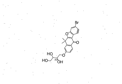 CC1(C)c2cc(OC[C@@H](O)C(O)CO)ccc2C(=O)c2c1oc1cc(Br)c#cc21